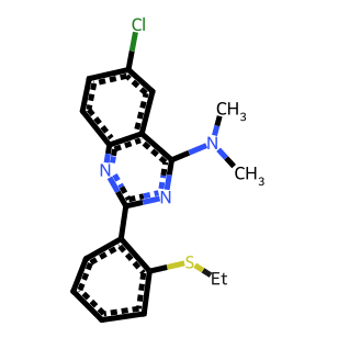 CCSc1ccccc1-c1nc(N(C)C)c2cc(Cl)ccc2n1